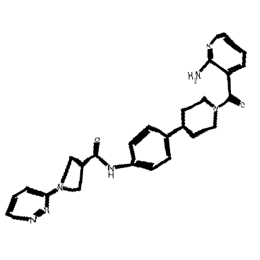 Nc1ncccc1C(=O)N1CCC(c2ccc(NC(=O)C3CN(c4cccnn4)C3)cc2)CC1